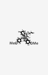 C=CCOC(c1ncc(C)cn1)C(C)S(=O)(=O)N(Cc1ccc(OC)cc1)Cc1ccc(OC)cc1